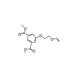 C=COCCOc1cc(C(=O)OC)cc(C(=O)OC)c1